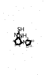 Sc1nc2cccc(-n3cccc3)c2[nH]1